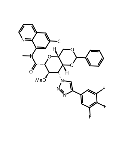 CO[C@@H]1[C@@H](n2cc(-c3cc(F)c(F)c(F)c3)nn2)[C@H]2OC(c3ccccc3)OC[C@H]2O[C@H]1C(=O)N(C)c1cc(Cl)cc2cccnc12